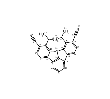 CC(C)c1c(C#N)ccc2c3cccc4c5ccc(C#N)c(C(C)C)c5n(c12)c34